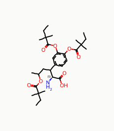 CCC(C)(C)C(=O)Oc1ccc(C(CC(C)OC(=O)C(C)(C)CC)[C@H](N)C(=O)O)cc1OC(=O)C(C)(C)CC